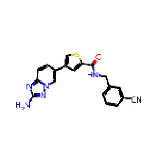 N#Cc1cccc(CNC(=O)c2cc(-c3ccc4nc(N)nn4c3)cs2)c1